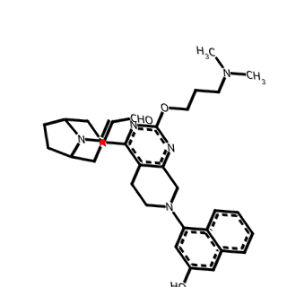 CN(C)CCCOc1nc2c(c(N3CC4CCC(C3)N4C=CC=O)n1)CCN(c1cc(O)cc3ccccc13)C2